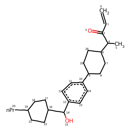 C=CC(=O)C(C)C1CCC(c2ccc(C(O)C3CCC(CCC)CC3)cc2)CC1